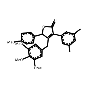 COc1ccc(C2OC(=O)C(c3cc(C)cc(C)c3)=C2Cc2cc(OC)c(OC)c(OC)c2)cc1